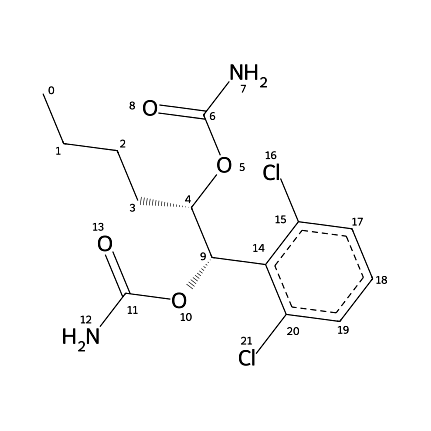 CCCC[C@H](OC(N)=O)[C@@H](OC(N)=O)c1c(Cl)cccc1Cl